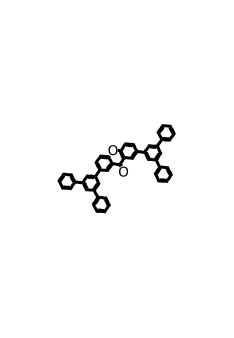 O=c1c2cc(-c3cc(-c4ccccc4)cc(-c4ccccc4)c3)ccc2oc2ccc(-c3cc(-c4ccccc4)cc(-c4ccccc4)c3)cc12